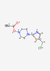 CC(C)(C)C(=O)ON1CCN(c2ncc(CCl)s2)CC1